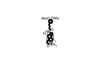 COc1ccc(CCCC(=O)N[C@H]2CC[C@H]3[C@@H]4CC[C@H]5N(C)C(=O)C=C[C@]5(C)[C@H]4CC[C@]23C)cc1OC